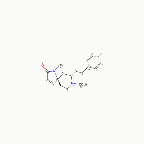 CCCN1C(=O)C=C[C@]12CCN(C(=O)O)[C@@H](CCc1ccccc1)C2